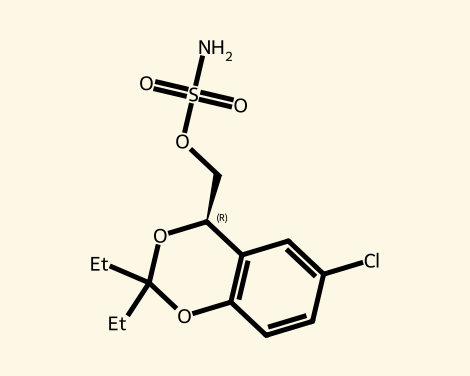 CCC1(CC)Oc2ccc(Cl)cc2[C@H](COS(N)(=O)=O)O1